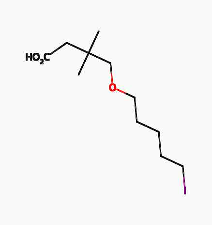 CC(C)(COCCCCCI)CC(=O)O